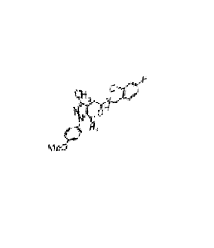 COc1ccc(-n2nc(C)c(CC(=O)NCc3ccc(F)cc3Cl)c2C)cc1